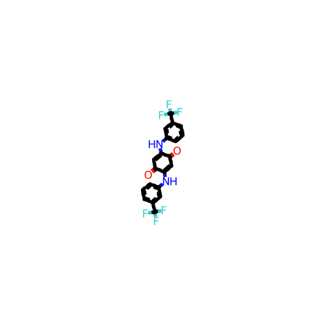 O=C1C=C(Nc2cccc(C(F)(F)F)c2)C(=O)C=C1Nc1cccc(C(F)(F)F)c1